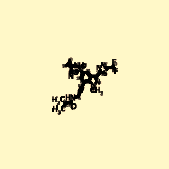 CC(C)C(=O)NCC#Cc1cc(S(=O)(=O)NC2(C#N)CC2)cc2c(-c3nnc(C(F)F)s3)nn(C)c12